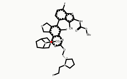 CC(C)(C)OC(=O)Nc1sc2c(F)ccc(-c3c4c(c5c(N6C7CCC6CN(C(=O)O)C7)nc(OC[C@@H]6CCCN6CCF)nc5c3F)COC4)c2c1C#N